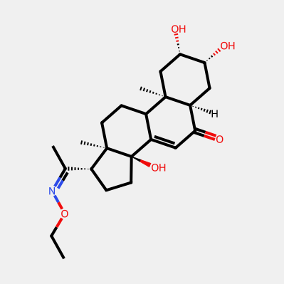 CCO/N=C(/C)[C@H]1CC[C@@]2(O)C3=CC(=O)[C@@H]4C[C@@H](O)[C@@H](O)C[C@]4(C)C3CC[C@]12C